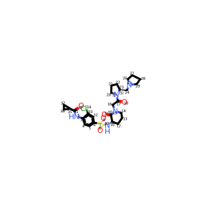 O=C(Nc1ccc(S(=O)(=O)N[C@H]2CCCN(CC(=O)N3CCC[C@H]3CN3CCCC3)C2=O)cc1Cl)C1CC1